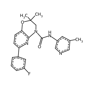 Cc1cncc(NC(=O)N2CC(C)(C)Oc3ccc(-c4cccc(F)c4)nc32)c1